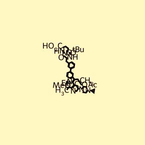 CCn1c(-c2cc(N3CCN(C4CC4)CC3)cnc2[C@H](C)OC)c(CC(C)(C)COC(C)=O)c2cc(-c3cccc(CC(NC(=O)OC(C)(C)C)C(=O)N4CCCC(C(=O)O)N4)c3)ccc21